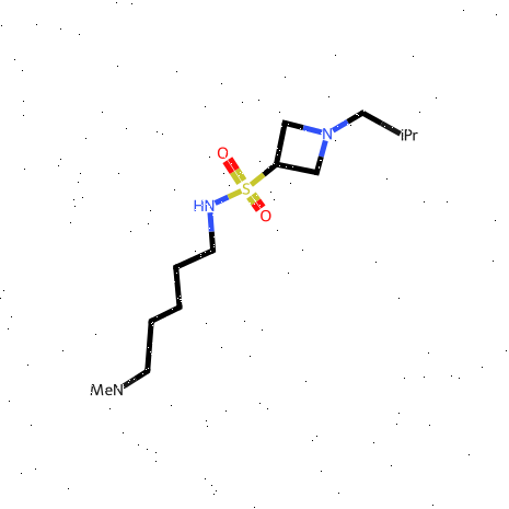 CNCCCCCNS(=O)(=O)C1CN(CC(C)C)C1